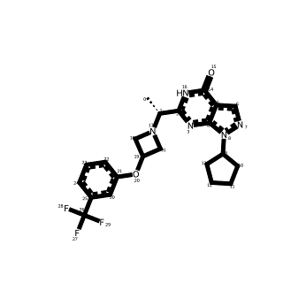 C[C@H](c1nc2c(cnn2C2CCCC2)c(=O)[nH]1)N1CC(Oc2cccc(C(F)(F)F)c2)C1